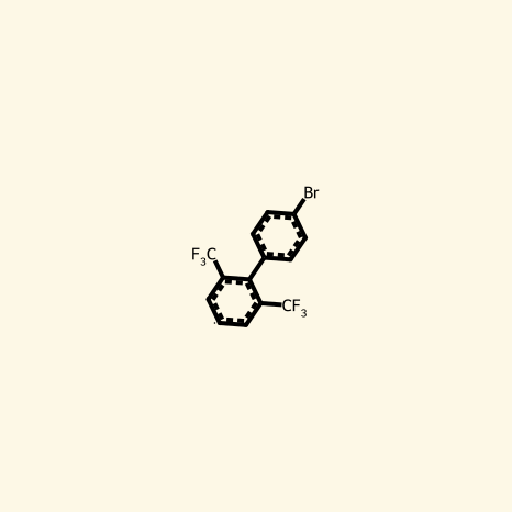 FC(F)(F)c1c[c]cc(C(F)(F)F)c1-c1ccc(Br)cc1